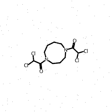 O=C(C(Cl)Cl)N1CCCCN(C(=O)C(Cl)Cl)CCC1